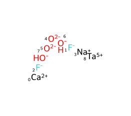 [Ca+2].[F-].[F-].[Na+].[O-2].[O-2].[OH-].[OH-].[Ta+5]